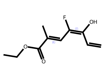 C=C/C(O)=C(F)\C=C(/C)C(=O)OCC